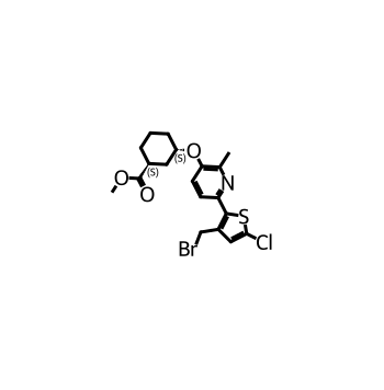 COC(=O)[C@H]1CCC[C@H](Oc2ccc(-c3sc(Cl)cc3CBr)nc2C)C1